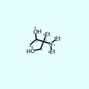 CCN(CC)C(CC)(CO)C(C)O